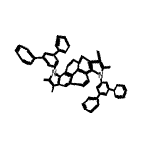 Cc1c(C)n(-c2cc(-c3ccccc3)cc(-c3ccccc3)c2)c2c1cc1ccc3c4c(ccc2c14)cc1c(C)c(C)n(-c2cc(-c4ccccc4)cc(C4C=CC=CC4)c2)c13